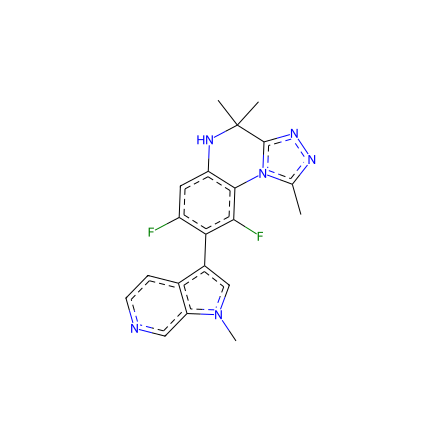 Cc1nnc2n1-c1c(cc(F)c(-c3cn(C)c4cnccc34)c1F)NC2(C)C